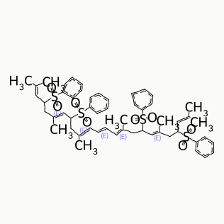 CC(C)=CC(C/C(C)=C/C(C/C(C)=C/C=C/C=C(\C)CC(/C=C(\C)CC(C=C(C)C)S(=O)(=O)c1ccccc1)S(=O)(=O)c1ccccc1)S(=O)(=O)c1ccccc1)S(=O)(=O)c1ccccc1